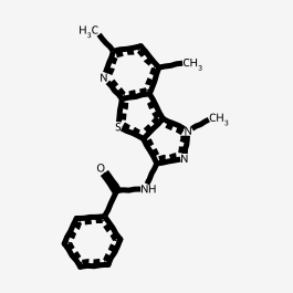 Cc1cc(C)c2c(n1)sc1c(NC(=O)c3ccccc3)nn(C)c12